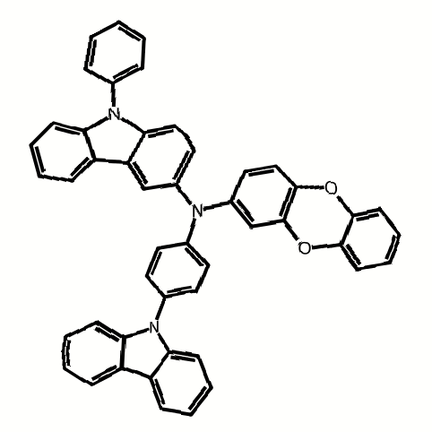 c1ccc(-n2c3ccccc3c3cc(N(c4ccc(-n5c6ccccc6c6ccccc65)cc4)c4ccc5c(c4)Oc4ccccc4O5)ccc32)cc1